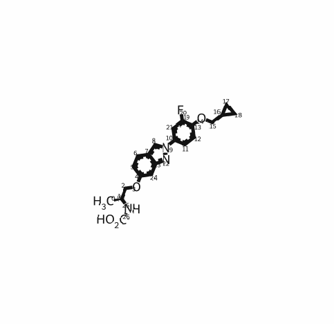 C[C@@H](COc1ccc2cn(-c3ccc(OCC4CC4)c(F)c3)nc2c1)NC(=O)O